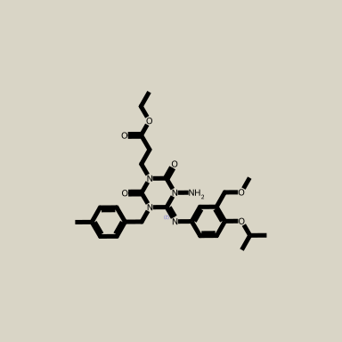 CCOC(=O)CCn1c(=O)n(N)/c(=N\c2ccc(OC(C)C)c(COC)c2)n(Cc2ccc(C)cc2)c1=O